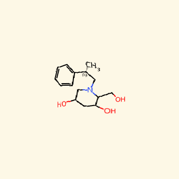 C[C@H](CN1CC(O)CC(O)C1CO)c1ccccc1